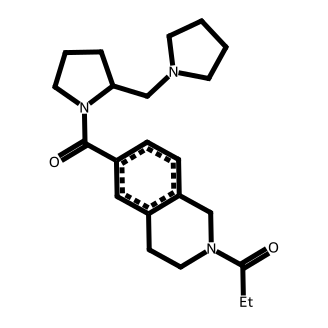 CCC(=O)N1CCc2cc(C(=O)N3CCCC3CN3CCCC3)ccc2C1